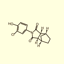 O=C1[C@@H]2[C@@H]3CC[C@@H](C3)[C@@H]2C(=O)N1c1ccc(O)c(Cl)c1